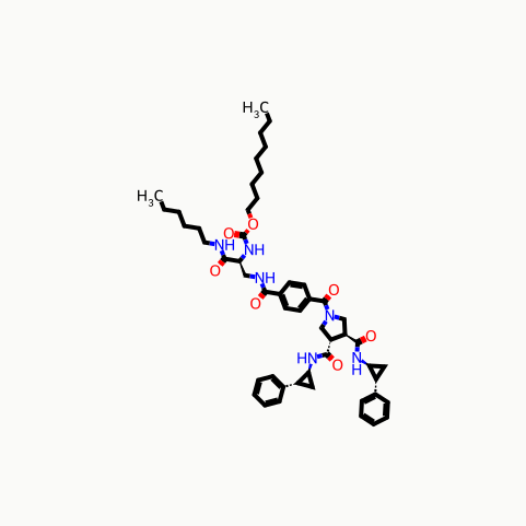 CCCCCCCCCOC(=O)N[C@@H](CNC(=O)c1ccc(C(=O)N2C[C@@H](C(=O)N[C@H]3C[C@@H]3c3ccccc3)[C@H](C(=O)N[C@H]3C[C@@H]3c3ccccc3)C2)cc1)C(=O)NCCCCCC